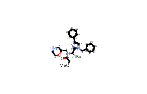 COCC(=O)N(C[C@@H]1CNCCO1)[C@@H](c1nc(-c2ccccc2)cn1Cc1ccccc1)C(C)(C)C